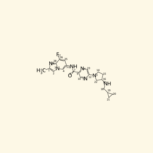 Cc1cn2cc(NC(=O)c3cnc(N4CCC(NCC5CC5)C4)cn3)cc(F)c2n1